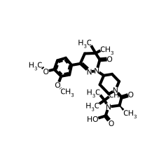 COc1ccc(C2=NN(C3CCN(C(=O)[C@@H](C)N(C(=O)O)C(C)(C)C)CC3)C(=O)C(C)(C)C2)cc1OC